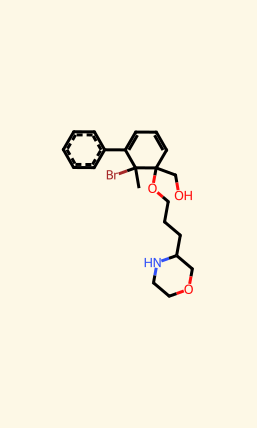 CC1(Br)C(c2ccccc2)=CC=CC1(CO)OCCCC1COCCN1